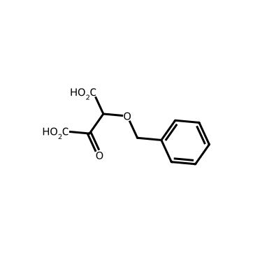 O=C(O)C(=O)C(OCc1ccccc1)C(=O)O